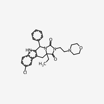 CCC12Cc3c([nH]c4ccc(Cl)cc34)C(c3ccccc3)N1C(=O)N(CCN1CCOCC1)C2=O